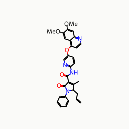 C=CCC1C(C)=C(C(=O)Nc2ccc(Oc3ccnc4cc(OC)c(OC)cc34)cn2)C(=O)N1c1ccccc1